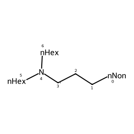 CCCCCCCCCCC[CH]N(CCCCCC)CCCCCC